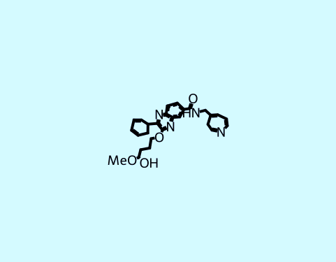 COC(O)CCCOc1nc2cc(C(=O)NCC3=CC=CN=CC3)ccc2nc1C1C=CC=CC1